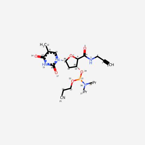 C#CCNC(=O)C1O[C@@H](n2cc(C)c(=O)[nH]c2=O)C[C@H]1OP(OCCC#N)N(C(C)C)C(C)C